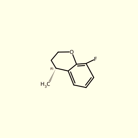 C[C@@H]1CCOc2c(F)cccc21